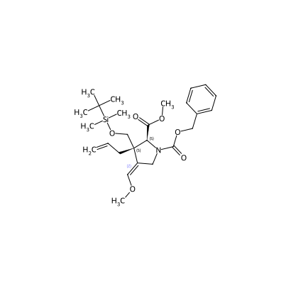 C=CC[C@]1(CO[Si](C)(C)C(C)(C)C)/C(=C/OC)CN(C(=O)OCc2ccccc2)[C@@H]1C(=O)OC